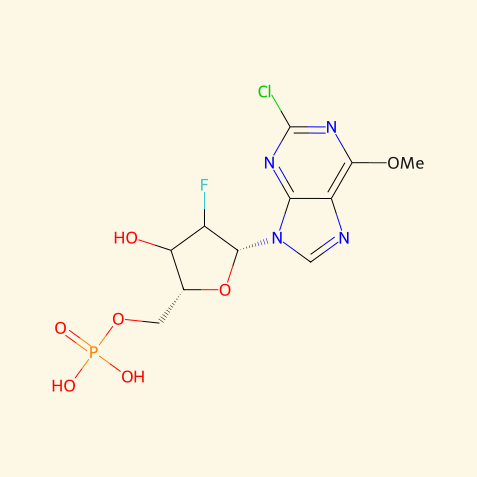 COc1nc(Cl)nc2c1ncn2[C@@H]1O[C@H](COP(=O)(O)O)C(O)C1F